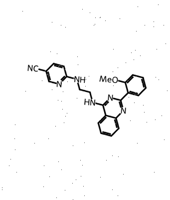 COc1ccccc1-c1nc(NCCNc2ccc(C#N)cn2)c2ccccc2n1